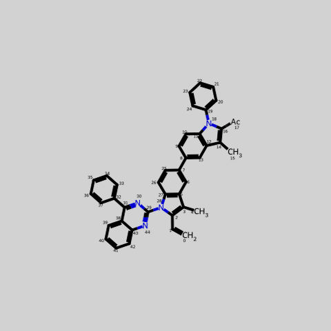 C=Cc1c(C)c2cc(-c3ccc4c(c3)c(C)c(C(C)=O)n4-c3ccccc3)ccc2n1-c1nc(-c2ccccc2)c2ccccc2n1